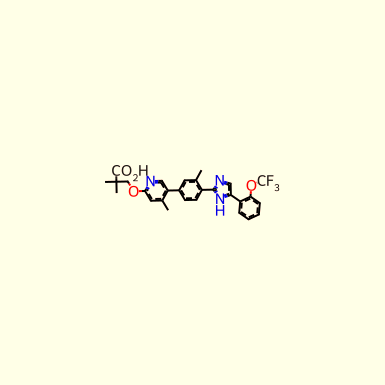 Cc1cc(OCC(C)(C)C(=O)O)ncc1-c1ccc(-c2ncc(-c3ccccc3OC(F)(F)F)[nH]2)c(C)c1